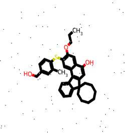 CCCOc1cc2c(O)cc3c(c2cc1Sc1ccc(CO)cc1C)-c1ccccc1C31CCCCCCC1